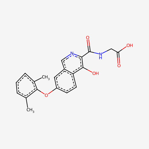 Cc1cccc(C)c1Oc1ccc2c(O)c(C(=O)NCC(=O)O)ncc2c1